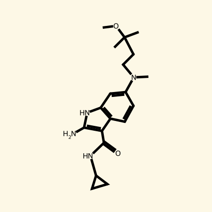 COC(C)(C)CCN(C)c1ccc2c(C(=O)NC3CC3)c(N)[nH]c2c1